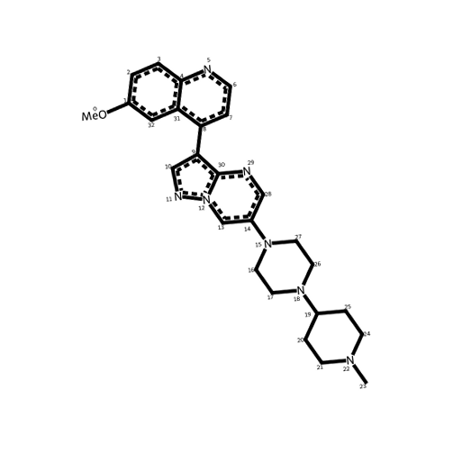 COc1ccc2nccc(-c3cnn4cc(N5CCN(C6CCN(C)CC6)CC5)cnc34)c2c1